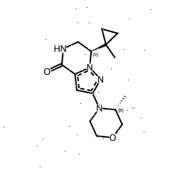 C[C@@H]1COCCN1c1cc2n(n1)[C@H](C1(C)CC1)CNC2=O